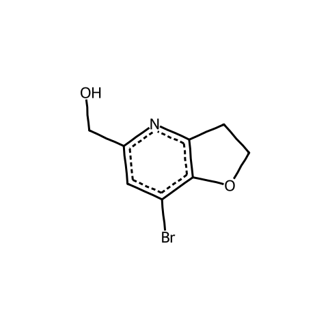 OCc1cc(Br)c2c(n1)CCO2